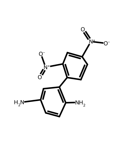 Nc1ccc(N)c(-c2ccc([N+](=O)[O-])cc2[N+](=O)[O-])c1